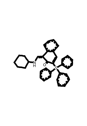 O=C1C(S(c2ccccc2)(c2ccccc2)c2ccccc2)=Cc2ccccc2/C1=C/NC1CCCCC1